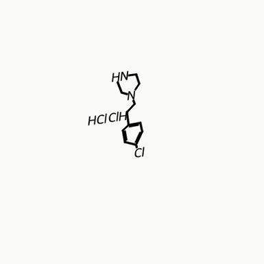 Cl.Cl.Clc1ccc(CCN2CCNCC2)cc1